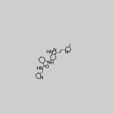 Cc1ccnc(/C=C/c2n[nH]c3cc(Nc4ccccc4C(=O)NCc4ccccn4)ccc23)c1